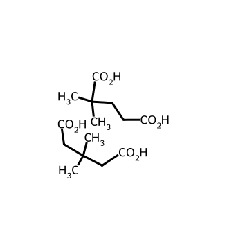 CC(C)(CC(=O)O)CC(=O)O.CC(C)(CCC(=O)O)C(=O)O